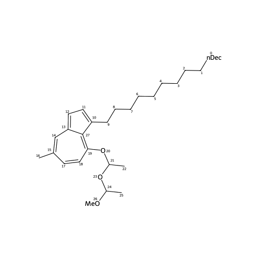 CCCCCCCCCCCCCCCCCCCc1ccc2cc(C)ccc(OC(C)OC(C)OC)c1-2